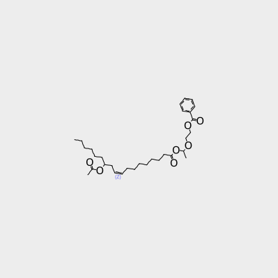 CCCCCCC(C/C=C\CCCCCCCC(=O)OC(C)OCCOC(=O)c1ccccc1)OC(C)=O